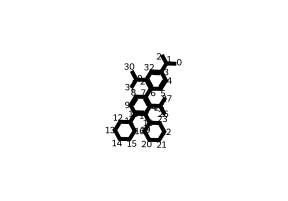 CC(C)c1ccc(-c2ccc(C3CCCCC3)c(C3CCCCC3)c2C(C)C)c(C(C)C)c1